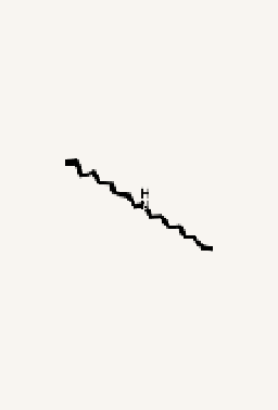 C=CCCCCCCCNCCCCCCCC